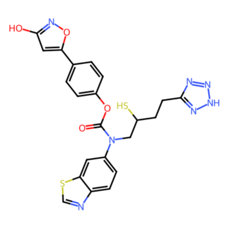 O=C(Oc1ccc(-c2cc(O)no2)cc1)N(CC(S)CCc1nn[nH]n1)c1ccc2ncsc2c1